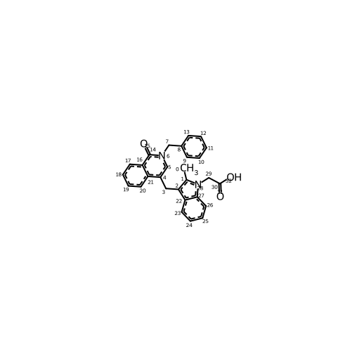 Cc1c(Cc2cn(Cc3ccccc3)c(=O)c3ccccc23)c2ccccc2n1CC(=O)O